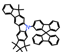 CC1(C)c2ccccc2-c2cc3c4cc5c(cc4n(-c4ccc6c(c4)C4(c7ccccc7-c7ccccc74)c4ccccc4-6)c3cc21)C(C)(C)C(C)(C)C5(C)C